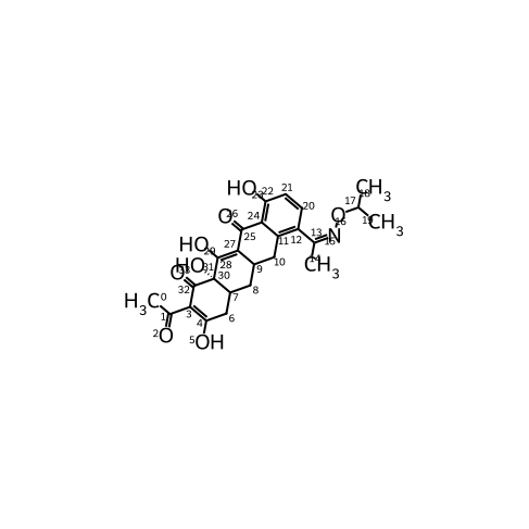 CC(=O)C1=C(O)CC2CC3Cc4c(/C(C)=N\OC(C)C)ccc(O)c4C(=O)C3=C(O)[C@]2(O)C1=O